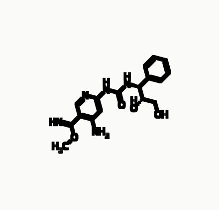 COC(=N)c1cnc(NC(=O)N[C@@H](c2ccccc2)[C@@H](O)CO)cc1N